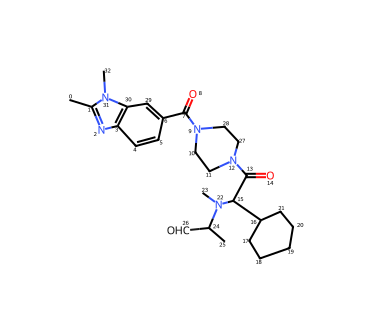 Cc1nc2ccc(C(=O)N3CCN(C(=O)C(C4CCCCC4)N(C)C(C)C=O)CC3)cc2n1C